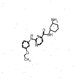 CCOc1cccc(Nc2nccc(C(=O)NC3CCCC(N)C3)n2)c1